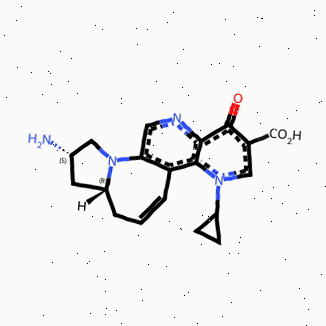 N[C@H]1C[C@H]2CC=Cc3c(cnc4c(=O)c(C(=O)O)cn(C5CC5)c34)N2C1